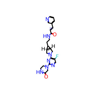 O=C(/C=C/c1cccnc1)NCCC1[C@H]2CN(c3nc(N4CCNC(=O)C4)ncc3F)C[C@@H]12